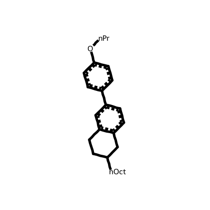 CCCCCCCCC1CCc2cc(-c3ccc(OCCC)cc3)ccc2C1